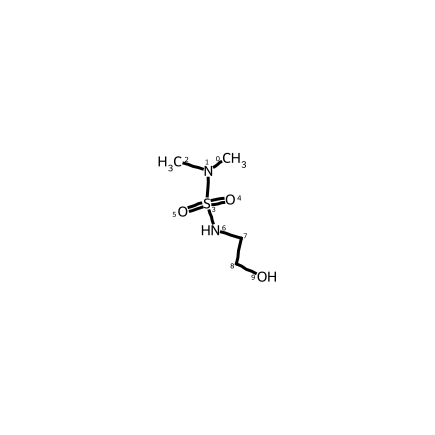 CN(C)S(=O)(=O)NCCO